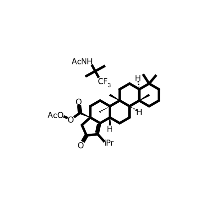 CC(=O)NC(C)(C)C(F)(F)F.CC(=O)OOC(=O)[C@@]12CC[C@]3(C)[C@H](CC[C@@H]4[C@@]5(C)CCCC(C)(C)[C@@H]5CC[C@]43C)C1=C(C(C)C)C(=O)C2